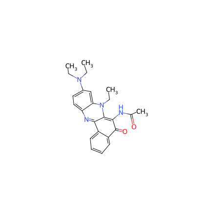 CCN(CC)c1ccc2nc3c4ccccc4c(=O)c(NC(C)=O)c-3n(CC)c2c1